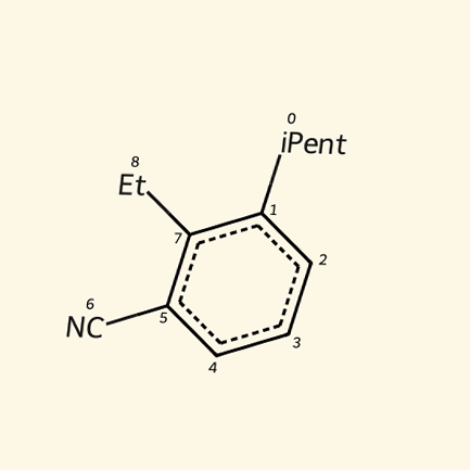 [CH2]C(CCC)c1cccc(C#N)c1CC